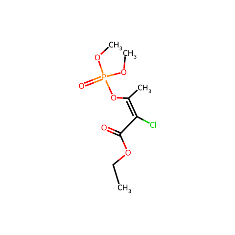 CCOC(=O)/C(Cl)=C(/C)OP(=O)(OC)OC